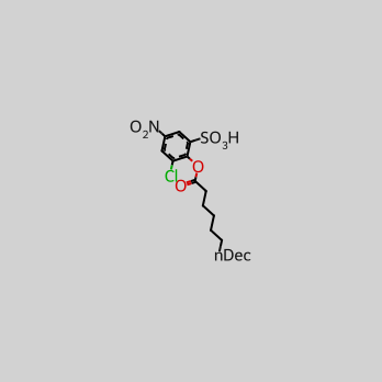 CCCCCCCCCCCCCCCC(=O)Oc1c(Cl)cc([N+](=O)[O-])cc1S(=O)(=O)O